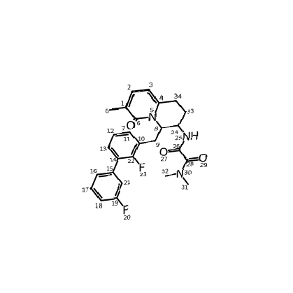 Cc1ccc2n(c1=O)C(Cc1cccc(-c3cccc(F)c3)c1F)C(NC(=O)C(=O)N(C)C)CC2